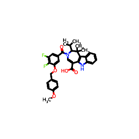 COc1ccc(COc2cc(C(=O)N3C=C(C(=O)O)c4[nH]c5ccccc5c4C(C)(C)C3C(C)C)cc(F)c2F)cc1